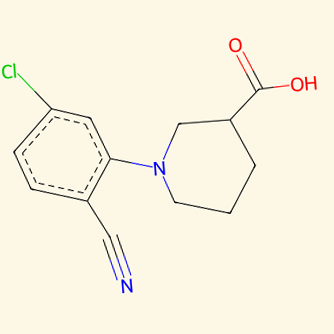 N#Cc1ccc(Cl)cc1N1CCCC(C(=O)O)C1